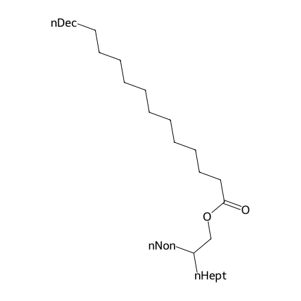 CCCCCCCCCCCCCCCCCCCCCC(=O)OCC(CCCCCCC)CCCCCCCCC